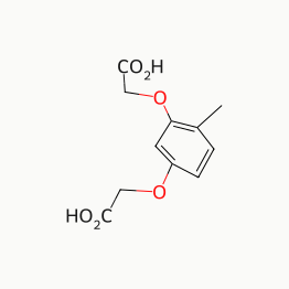 Cc1ccc(OCC(=O)O)cc1OCC(=O)O